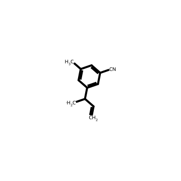 [CH2]C(C=C)c1cc(C)cc(C#N)c1